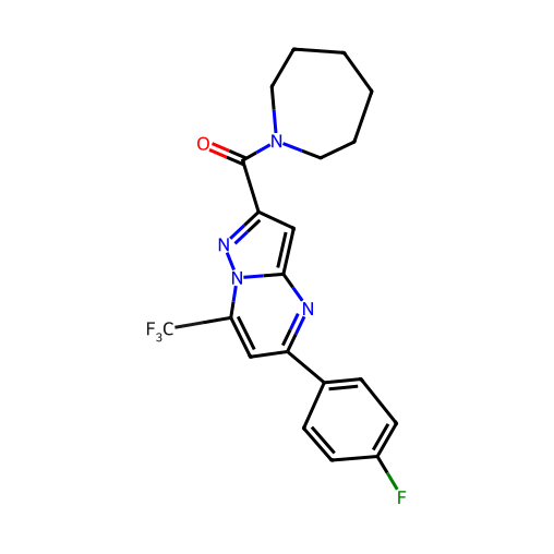 O=C(c1cc2nc(-c3ccc(F)cc3)cc(C(F)(F)F)n2n1)N1CCCCCC1